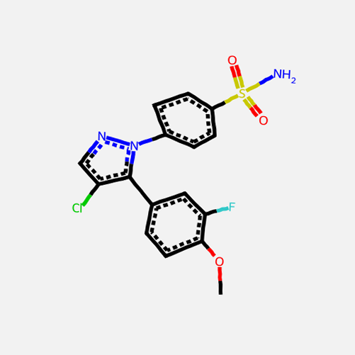 COc1ccc(-c2c(Cl)cnn2-c2ccc(S(N)(=O)=O)cc2)cc1F